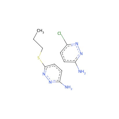 CCCSc1ccc(N)nn1.Nc1ccc(Cl)nn1